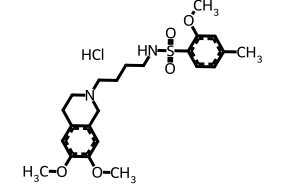 COc1cc2c(cc1OC)CN(CCCCNS(=O)(=O)c1ccc(C)cc1OC)CC2.Cl